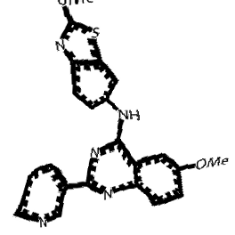 COc1ccc2nc(-c3cccnc3)nc(Nc3ccc4nc(OC)sc4c3)c2c1